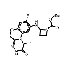 CC1C(=O)NN=C2COc3cc(F)c(NC4CCN4C(=O)OC(C)(C)C)cc3N21